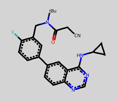 CC(C)(C)N(Cc1cc(-c2ccc3ncnc(NC4CC4)c3c2)ccc1F)C(=O)CC#N